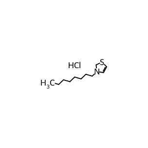 CCCCCCCCN1C=CSC1.Cl